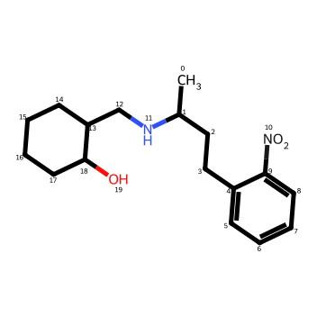 CC(CCc1ccccc1[N+](=O)[O-])NCC1CCCCC1O